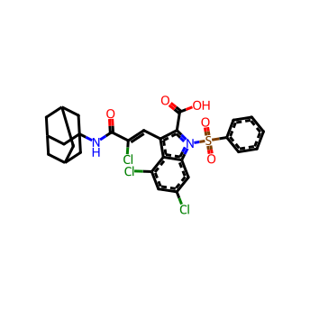 O=C(NC12CC3CC(CC(C3)C1)C2)/C(Cl)=C/c1c(C(=O)O)n(S(=O)(=O)c2ccccc2)c2cc(Cl)cc(Cl)c12